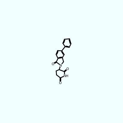 O=C1CCC(N2Cc3cc(-c4ccccc4)ccc3C2=O)C(=O)N1